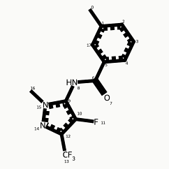 Cc1cccc(C(=O)Nc2c(F)c(C(F)(F)F)nn2C)c1